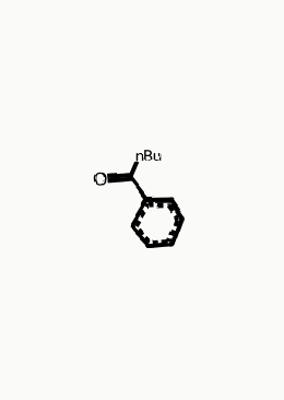 CCCCC(=O)c1ccccc1